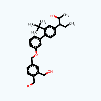 CCC(c1ccc(-c2cccc(OCc3ccc(CO)c(CO)c3)c2)c(C(C)(C)C)c1)C(C)O